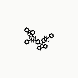 c1ccc(-c2nc(-c3ccc(C4(c5ccc6nc(-c7ccccc7)oc6c5)c5ccccc5-c5ccccc54)cc3)nc(-c3cccc4c3oc3ccccc34)n2)cc1